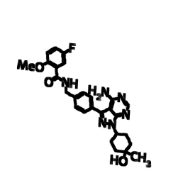 COc1ccc(F)cc1C(=O)NCc1ccc(-c2nn(C3CCC(C)(O)CC3)c3ncnc(N)c23)cc1